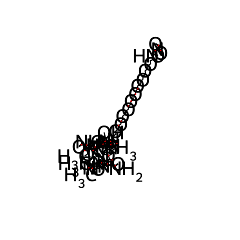 CCn1nc(C)cc1C(=O)Nc1nc2cc(C(N)=O)cc(OCCCN3CCN(CCOCCOCCOCCOCCOCCOCCOCCOCCOCCOCCNC(=O)CN4C(=O)C=CC4=O)CC3)c2n1C/C=C/Cn1c(NC(=O)c2cc(C)nn2CCO)nc2cc(C(N)=O)cc(OC)c21